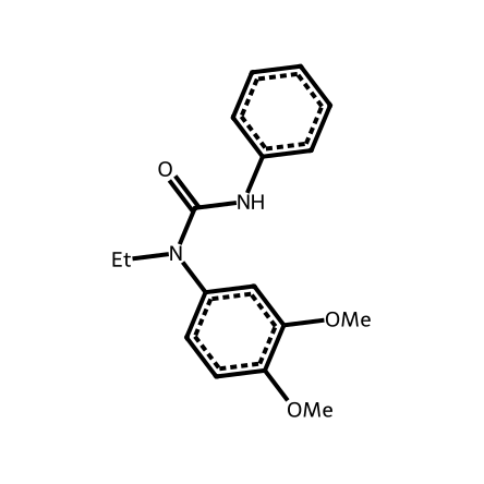 CCN(C(=O)Nc1ccccc1)c1ccc(OC)c(OC)c1